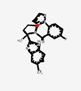 CC1(c2nc3cc(C(F)(F)F)ccc3[nH]2)CCCN1C(=O)c1cc(F)ccc1-n1nccn1